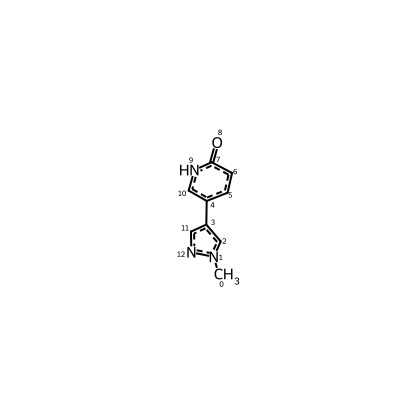 Cn1cc(-c2ccc(=O)[nH]c2)cn1